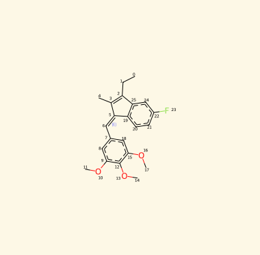 CCC1=C(C)/C(=C/c2cc(OC)c(OC)c(OC)c2)c2ccc(F)cc21